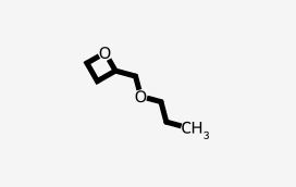 CCCOCC1CCO1